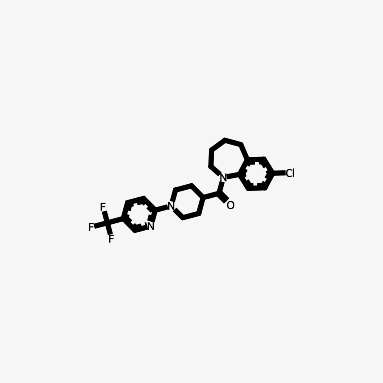 O=C(C1CCN(c2ccc(C(F)(F)F)cn2)CC1)N1CCCCc2cc(Cl)ccc21